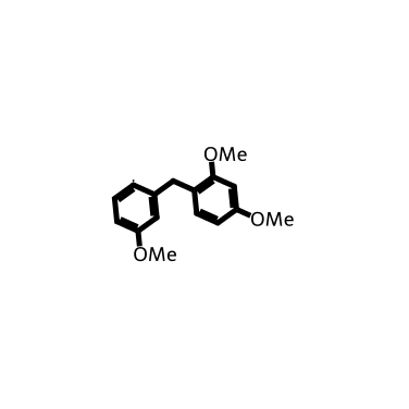 COc1cc[c]c(Cc2ccc(OC)cc2OC)c1